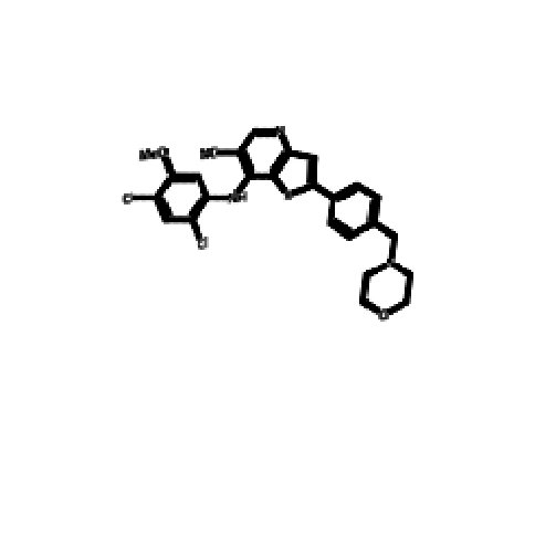 COc1cc(Nc2c(C#N)cnc3cc(-c4ccc(CN5CCOCC5)cc4)sc23)c(Cl)cc1Cl